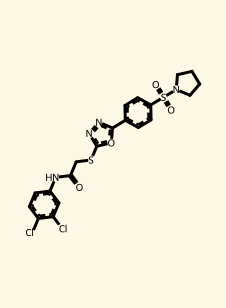 O=C(CSc1nnc(-c2ccc(S(=O)(=O)N3CCCC3)cc2)o1)Nc1ccc(Cl)c(Cl)c1